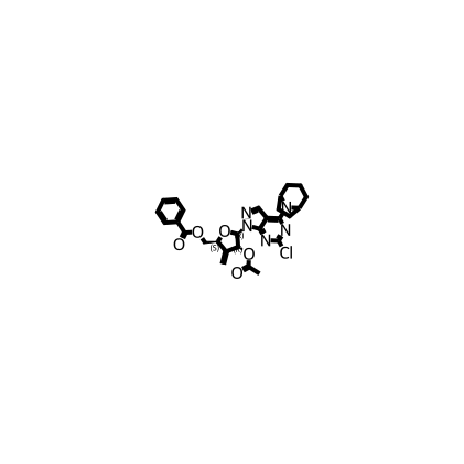 C=C1[C@@H](OC(C)=O)[C@H](n2ncc3c(N4C5CCCC4CC5)nc(Cl)nc32)O[C@@H]1COC(=O)c1ccccc1